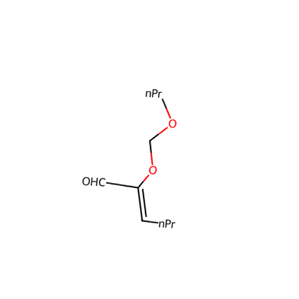 CCCC=C(C=O)OCOCCC